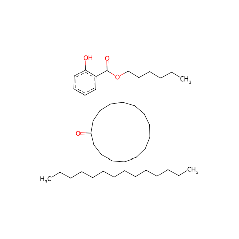 CCCCCCCCCCCCCC.CCCCCCOC(=O)c1ccccc1O.O=C1CCCCCCCCCCCCCC1